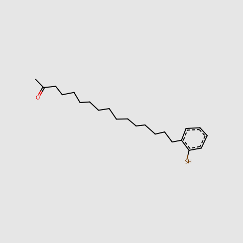 CC(=O)CCCCCCCCCCCCCCc1ccccc1S